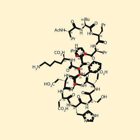 CC[C@H](C)[C@H](NC(=O)[C@@H](NC(C)=O)C(C)C)C(=O)N[C@@H](CC(C)C)C(=O)N[C@H](C(=O)N[C@@H](CC(C)C)C(=O)N[C@@H](Cc1ccccc1)C(=O)N[C@@H](CC(=O)O)C(=O)N[C@@H](CC(=O)O)C(=O)N[C@@H](Cc1c[nH]cn1)C(=O)N[C@@H](CO)C(=O)N[C@@H](CC(=O)O)C(=O)N[C@H](C(=O)N[C@@H](Cc1c[nH]cn1)C(=O)N[C@@H](CCCCN)C(=O)O)C(C)C)C(C)C